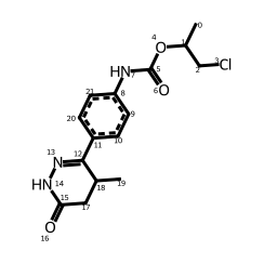 CC(CCl)OC(=O)Nc1ccc(C2=NNC(=O)CC2C)cc1